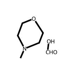 CN1CCOCC1.O=CO